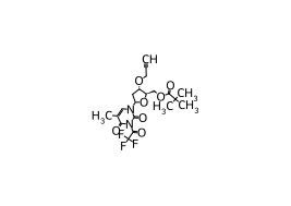 C#CCO[C@H]1C[C@H](n2cc(C)c(=O)n(C(=O)C(F)(F)F)c2=O)O[C@@H]1COC(=O)C(C)(C)C